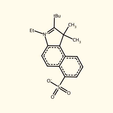 CC[N+]1=C(C(C)(C)C)C(C)(C)c2c1ccc1c(S(=O)(=O)[O-])cccc21